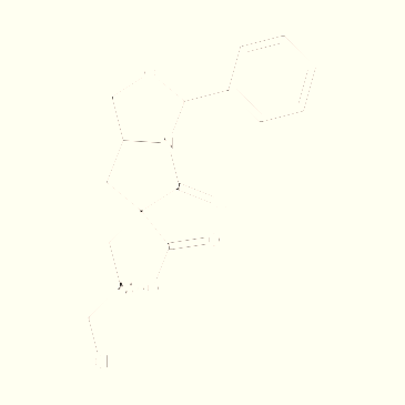 COC(=O)C1(CCCCl)CC2COC(c3ccccc3)N2C1=O